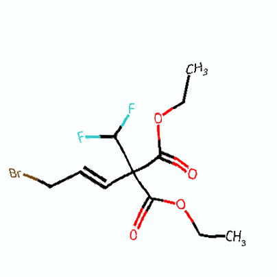 CCOC(=O)C(/C=C/CBr)(C(=O)OCC)C(F)F